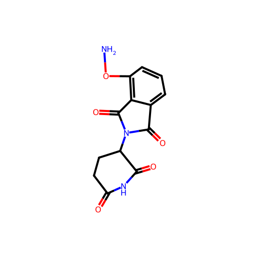 NOc1cccc2c1C(=O)N(C1CCC(=O)NC1=O)C2=O